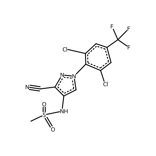 CS(=O)(=O)Nc1cn(-c2c(Cl)cc(C(F)(F)F)cc2Cl)nc1C#N